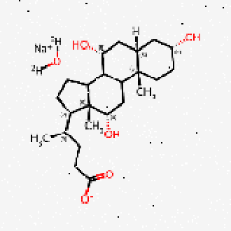 C[C@H](CCC(=O)[O-])[C@H]1CCC2C3C(C[C@H](O)[C@@]21C)[C@@]1(C)CC[C@@H](O)C[C@H]1C[C@H]3O.[2H]O[2H].[Na+]